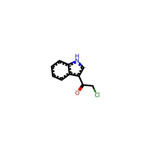 O=C(CCl)c1[c][nH]c2ccccc12